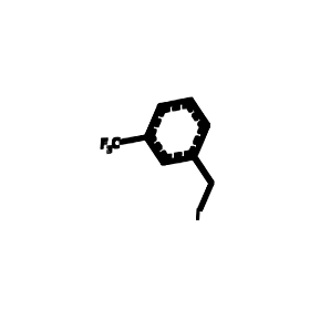 FC(F)(F)c1cccc(CI)c1